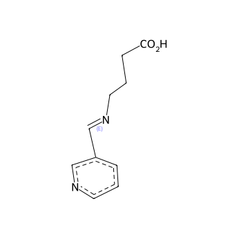 O=C(O)CCC/N=C/c1cccnc1